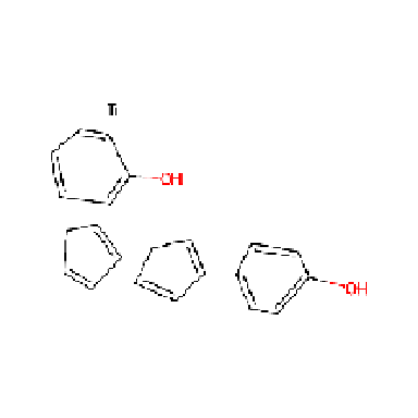 C1=CCC=C1.C1=CCC=C1.Oc1ccccc1.Oc1ccccc1.[Ti]